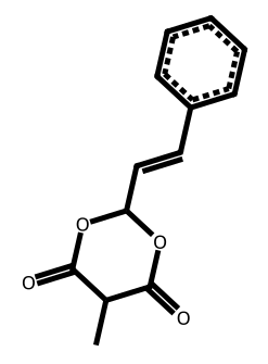 CC1C(=O)OC(C=Cc2ccccc2)OC1=O